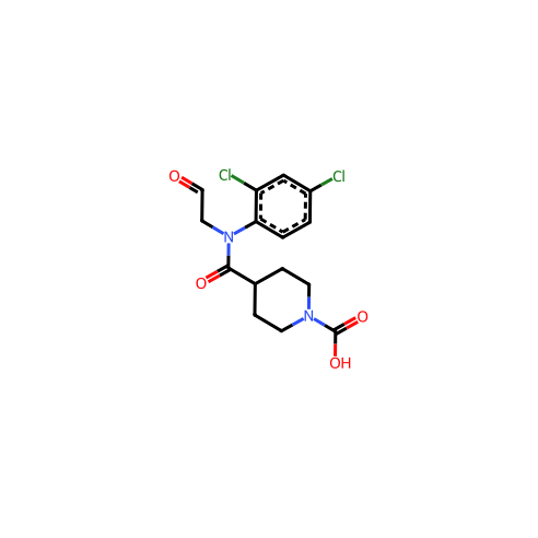 O=CCN(C(=O)C1CCN(C(=O)O)CC1)c1ccc(Cl)cc1Cl